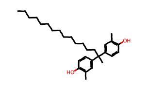 CCCCCCCCCCCCCCC(C)(c1ccc(O)c(C)c1)c1ccc(O)c(C)c1